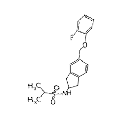 CC(C)S(=O)(=O)NC1Cc2ccc(COc3ccccc3F)cc2C1